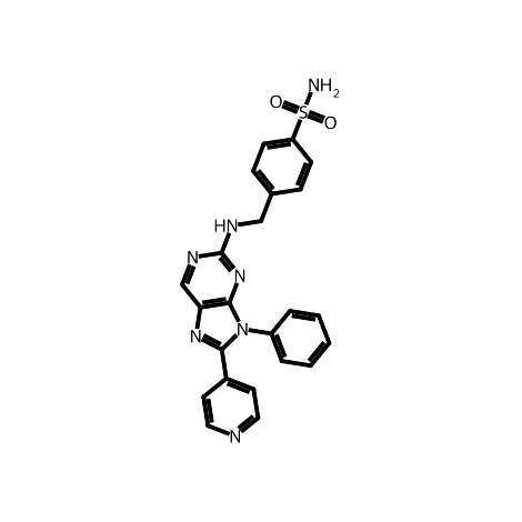 NS(=O)(=O)c1ccc(CNc2ncc3nc(-c4ccncc4)n(-c4ccccc4)c3n2)cc1